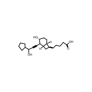 O=C(O)CCC/C=C1/C[C@@H]2C(C#CC(O)C3CCCC3)[C@H](O)CC[C@H]12